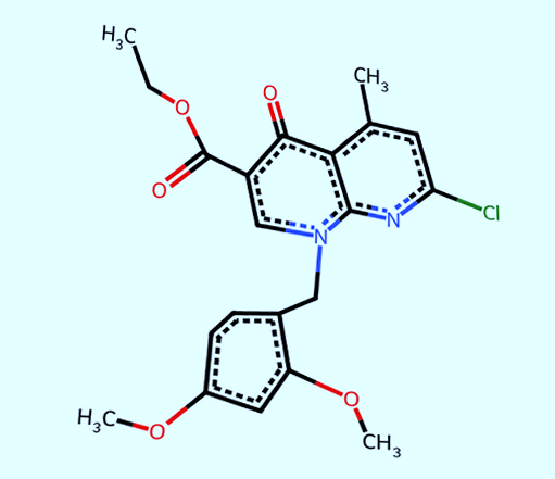 CCOC(=O)c1cn(Cc2ccc(OC)cc2OC)c2nc(Cl)cc(C)c2c1=O